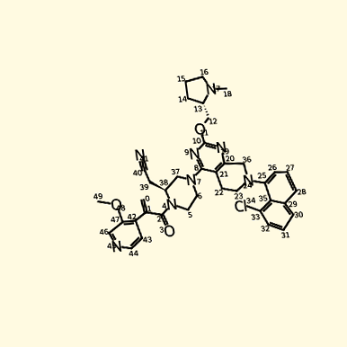 C=C(C(=O)N1CCN(c2nc(OC[C@@H]3CCCN3C)nc3c2CCN(c2cccc4cccc(Cl)c24)C3)C[C@@H]1CC#N)c1ccncc1OC